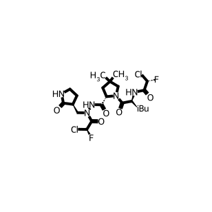 CC[C@H](C)[C@H](NC(=O)[C@@H](F)Cl)C(=O)N1CC(C)(C)C[C@H]1C(=O)NN(C[C@@H]1CCNC1=O)C(=O)[C@@H](F)Cl